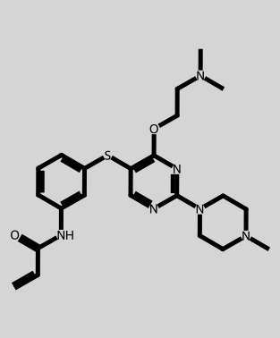 C=CC(=O)Nc1cccc(Sc2cnc(N3CCN(C)CC3)nc2OCCN(C)C)c1